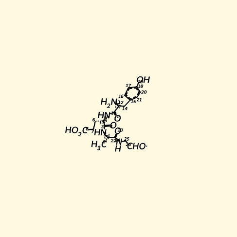 C[C@H](NC(=O)[C@H](CCC(=O)O)NC(=O)[C@@H](N)Cc1ccc(O)cc1)C(=O)NC[C]=O